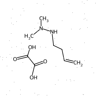 C=CCCNN(C)C.O=C(O)C(=O)O